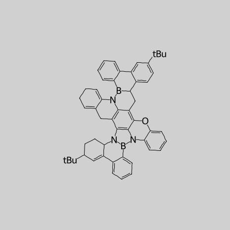 CC(C)(C)c1ccc2c(c1)-c1ccccc1B1C2Cc2c3c4c(c5c2N1C1=CCCC=C1C5)N1B(c2ccccc2C2=CC(C(C)(C)C)CCC21)N4c1ccccc1O3